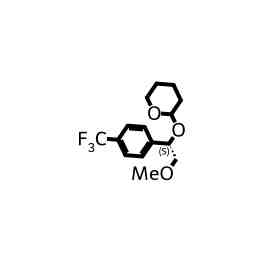 COC[C@@H](OC1CCCCO1)c1ccc(C(F)(F)F)cc1